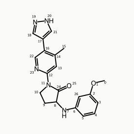 COc1cccc(NC2CCN(c3cc(C)c(-c4cn[nH]c4)cn3)C2=O)c1